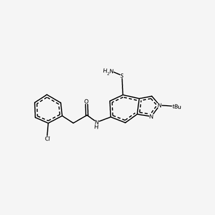 CC(C)(C)n1cc2c(SN)cc(NC(=O)Cc3ccccc3Cl)cc2n1